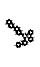 c1ccc(-c2ccccc2-c2nc(-c3ccc4cc(-c5ccc6ccccc6c5)ccc4c3)nc(-c3cccc4c3sc3ccccc34)n2)cc1